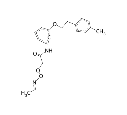 CC=NOOCC(=O)Nc1cccc(OCCc2ccc(C)cc2)c1